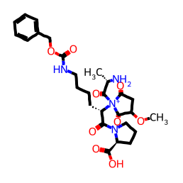 COC1CC(=O)[N+](C(=O)[C@H](C)N)([C@@H](CCCCNC(=O)OCc2ccccc2)C(=O)N2CCC[C@H]2C(=O)O)C1=O